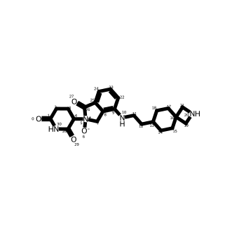 O=C1CCC([N+]2([O-])Cc3c(NCCC4CCC5(CC4)CNC5)cccc3C2=O)C(=O)N1